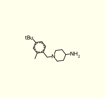 Cc1cc(C(C)(C)C)ccc1CN1CCC(N)CC1